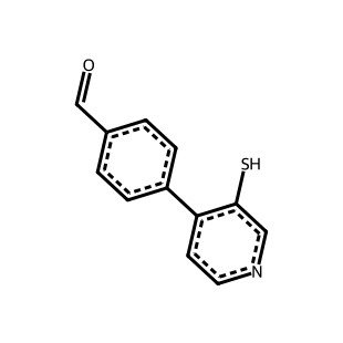 O=Cc1ccc(-c2ccncc2S)cc1